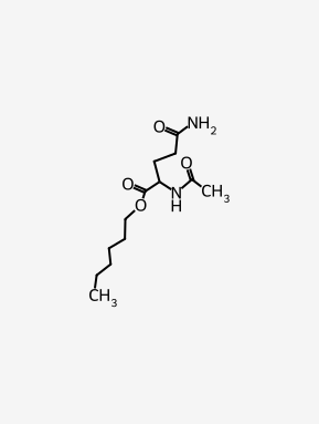 CCCCCCOC(=O)C(CCC(N)=O)NC(C)=O